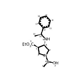 CCOC(=O)[C@@H]1CN(B(C)O)C[C@H]1N[C@@H](C)c1ccccc1